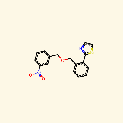 O=[N+]([O-])c1cccc(COCc2ccccc2-c2nccs2)c1